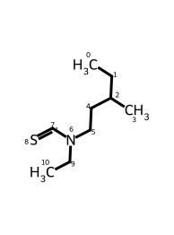 CCC(C)CCN([C]=S)CC